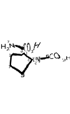 C1CCCC1.NC(=O)O.NC(=O)O